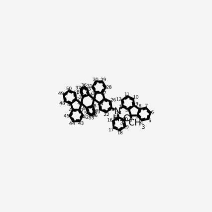 CC1(C)c2ccccc2-c2cccc(N(c3ccccc3)c3ccc4c(c3)-c3ccccc3C43c4ccccc4C4(c5ccccc5-c5ccccc54)c4ccccc43)c21